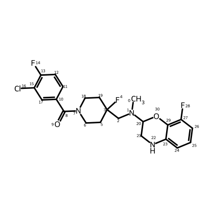 CN(CC1(F)CCN(C(=O)c2ccc(F)c(Cl)c2)CC1)C1CNc2cccc(F)c2O1